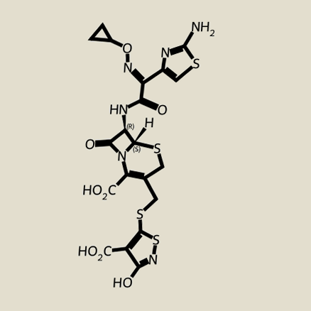 Nc1nc(C(=NOC2CC2)C(=O)N[C@@H]2C(=O)N3C(C(=O)O)=C(CSc4snc(O)c4C(=O)O)CS[C@@H]23)cs1